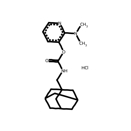 CN(C)c1ncccc1OC(=O)NCC12CC3CC(CC(C3)C1)C2.Cl